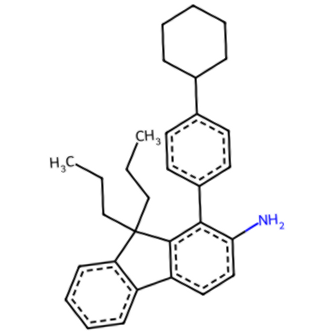 CCCC1(CCC)c2ccccc2-c2ccc(N)c(-c3ccc(C4CCCCC4)cc3)c21